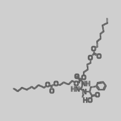 CCCCCCCCOC(=O)OCCCCOP(=O)(NC(=N)N(C)C(Cc1ccccc1)C(=O)O)OCCCCOC(=O)OCCCCCCCC